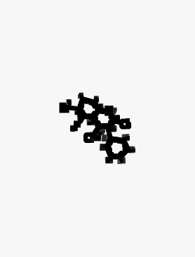 Fc1c(Br)ccc2nc(Cl)c(-c3ccccc3)c(Cl)c12